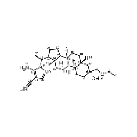 CCOC[C@@]1(O)CC[C@H]2[C@H](CC[C@@H]3[C@@H]2CC[C@]2(C)[C@@H]([C@H](C)n4ncc(C#N)c4N)CC[C@@H]32)C1